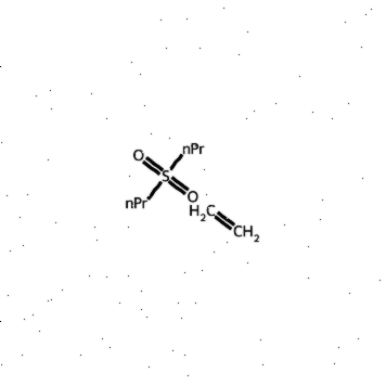 C=C.CCCS(=O)(=O)CCC